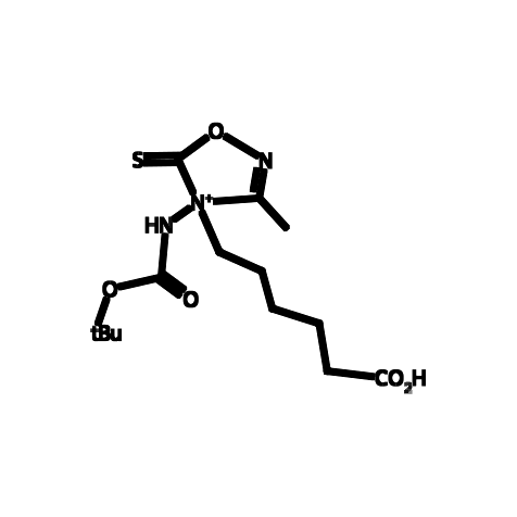 CC1=NOC(=S)[N+]1(CCCCCC(=O)O)NC(=O)OC(C)(C)C